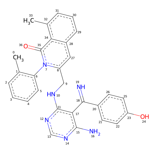 Cc1ccccc1-n1c(CNc2ncnc(N)c2C(=N)c2ccc(O)cc2)cc2cccc(C)c2c1=O